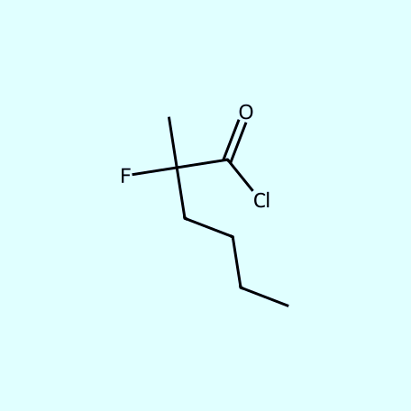 CCCCC(C)(F)C(=O)Cl